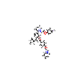 Ic1ccc(OCCN2CCCCC2c2ccc3c(c2)OC(c2ccc(OCCN4CCCCC4)cc2)C=C3C2CCCC2)cc1